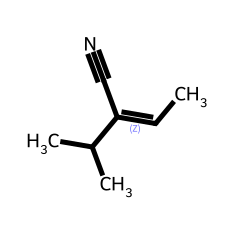 C/C=C(\C#N)C(C)C